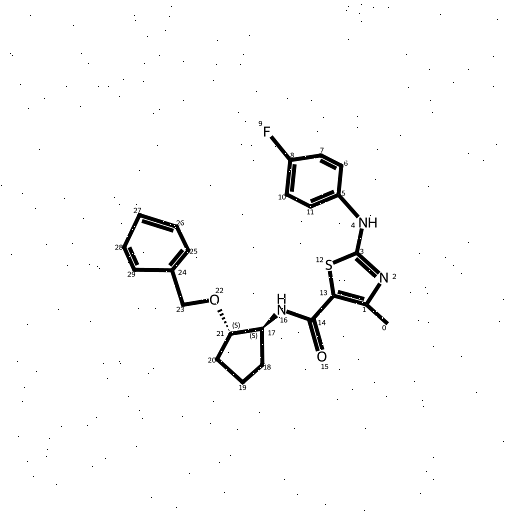 Cc1nc(Nc2ccc(F)cc2)sc1C(=O)N[C@H]1CCC[C@@H]1OCc1ccccc1